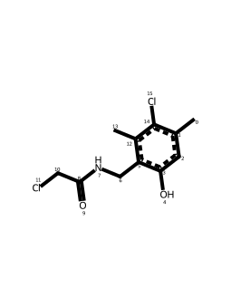 Cc1cc(O)c(CNC(=O)CCl)c(C)c1Cl